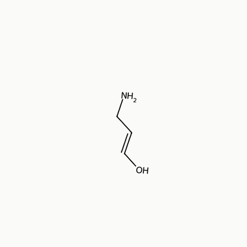 NC/C=C/O